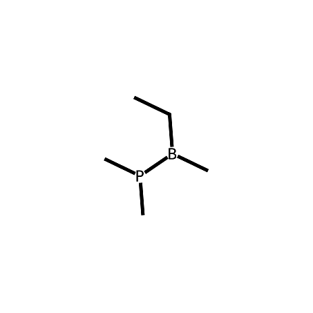 CCB(C)P(C)C